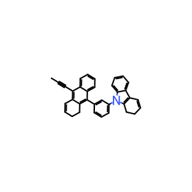 CC#Cc1c2c(c(-c3cccc(-n4c5c(c6ccccc64)C=CCC5)c3)c3ccccc13)CCC=C2